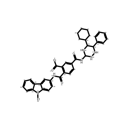 CCC(=O)c1cc(C(=O)NC2NNC(c3ccccc3)C(C3CCCCC3)N2)ccc1C(=O)Nc1ccc2c(c1)c1ccccc1n2CC